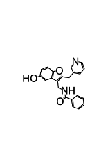 O=C(NCc1c(Cc2cccnc2)oc2ccc(O)cc12)c1ccccc1